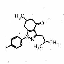 CC(C)Cc1nn(-c2ccc(I)cc2)c2c1C(=O)CC(C)C2